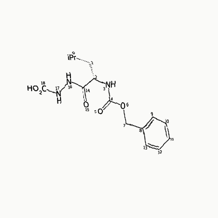 CC(C)C[C@H](NC(=O)OCc1ccccc1)C(=O)NNC(=O)O